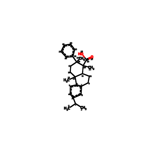 CC(C)c1ccc2c(c1)CCC1C2(C)CCC(C)(c2ccccc2)C1(C)C(=O)O